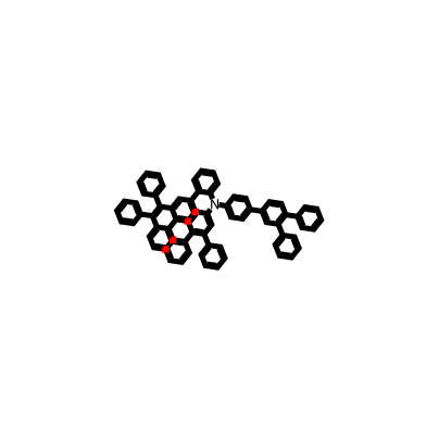 c1ccc(-c2ccc(-c3ccc(N(c4ccc(-c5ccccc5)c(-c5ccccc5)c4)c4ccccc4-c4ccc5c(c4)c(-c4ccccc4)c(-c4ccccc4)c4ccccc45)cc3)cc2-c2ccccc2)cc1